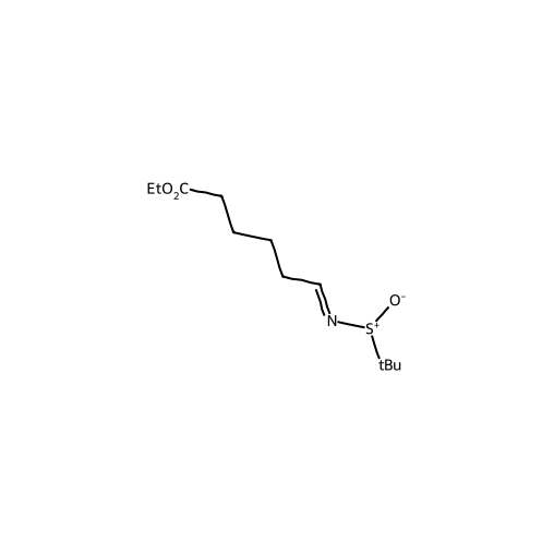 CCOC(=O)CCCCC=N[S+]([O-])C(C)(C)C